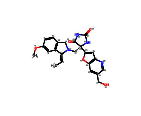 C/C=C1\c2cc(OC)ccc2CN1C[C@@]1(c2cc3ncc(CO)cc3o2)NC(=O)NC1=O